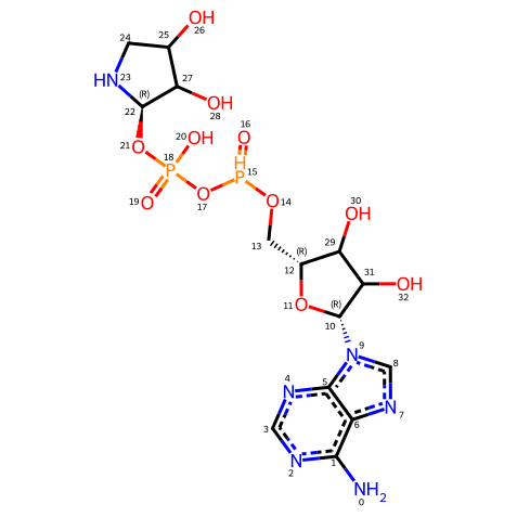 Nc1ncnc2c1ncn2[C@@H]1O[C@H](CO[PH](=O)OP(=O)(O)O[C@H]2NCC(O)C2O)C(O)C1O